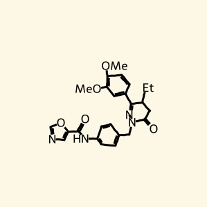 CCC1CC(=O)N(Cc2ccc(NC(=O)c3cnco3)cc2)N=C1c1ccc(OC)c(OC)c1